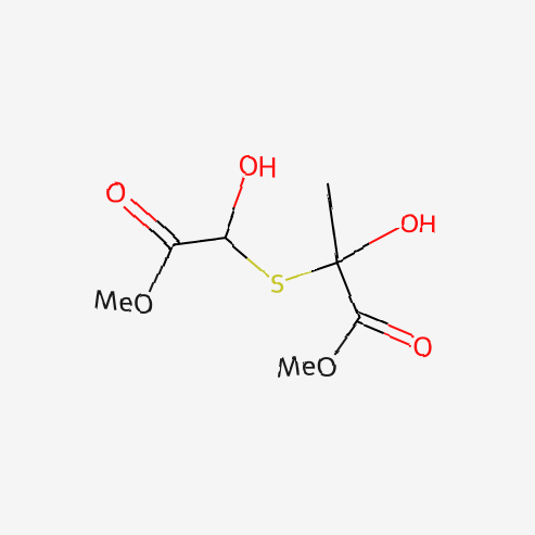 COC(=O)C(O)SC(C)(O)C(=O)OC